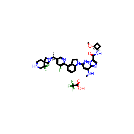 CNc1cc(N2CCc3c(-c4ncc([C@@H](C)N5CC6(CCNCC6(F)F)C5)cc4F)cccc32)nn2c(C(=O)N[C@@H]3CC[C@H]3OC)cnc12.O=C(O)C(F)(F)F